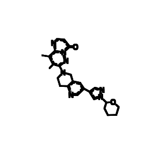 Cc1c(N2CCc3ncc(-c4cnn(C5CCCCO5)c4)cc3C2)nn2c(=O)ccnc2c1C